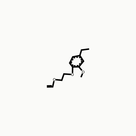 C=COCCOc1ccc(CC)cc1OC